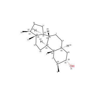 C[C@H]1C[C@@]2(C)[C@@H](CC[C@@H]3[C@@H]2CC[C@]2(C)[C@@H](C)CC[C@@H]32)C[C@@H]1O